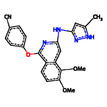 COc1ccc2c(Oc3ccc(C#N)cc3)nc(Nc3cc(C)[nH]n3)cc2c1OC